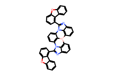 c1cc2c3c(c1)-n1c(-c4cccc5oc6ccccc6c45)nc4cccc(c41)B3c1cccc3nc(-c4cccc5oc6ccccc6c45)n-2c13